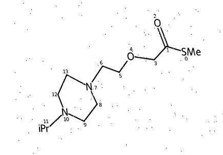 CSC(=O)COCCN1CCN(C(C)C)CC1